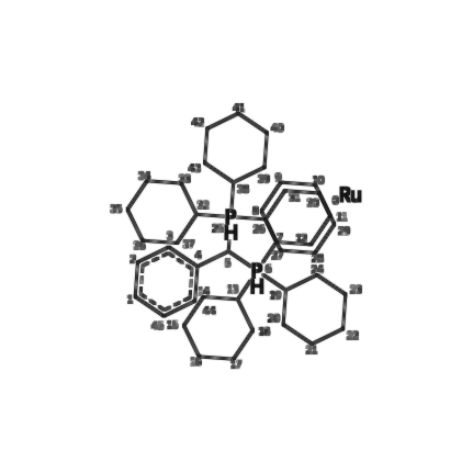 [Ru].c1ccc(C([PH](C2CCCCC2)(C2CCCCC2)C2CCCCC2)[PH](C2CCCCC2)(C2CCCCC2)C2CCCCC2)cc1